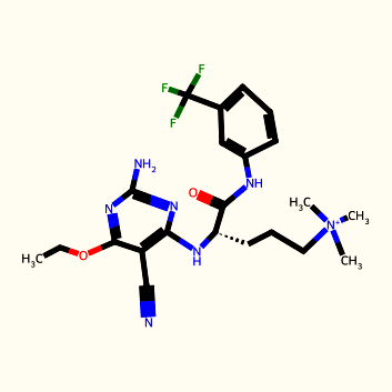 CCOc1nc(N)nc(N[C@@H](CCC[N+](C)(C)C)C(=O)Nc2cccc(C(F)(F)F)c2)c1C#N